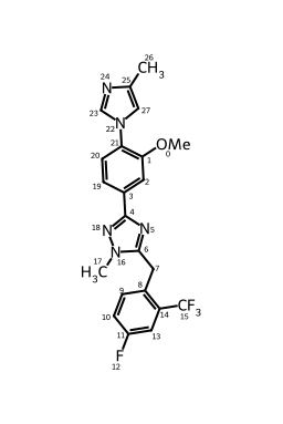 COc1cc(-c2nc(Cc3ccc(F)cc3C(F)(F)F)n(C)n2)ccc1-n1cnc(C)c1